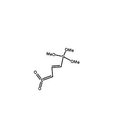 CO[Si](C=CC=S(=O)=O)(OC)OC